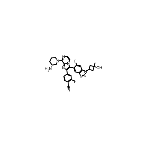 CC1(O)CC(n2nnc3cc(-c4c(-c5ccc(C#N)c(F)c5)nc5c(N6CCC[C@@H](N)C6)nccn45)c(F)cc32)C1